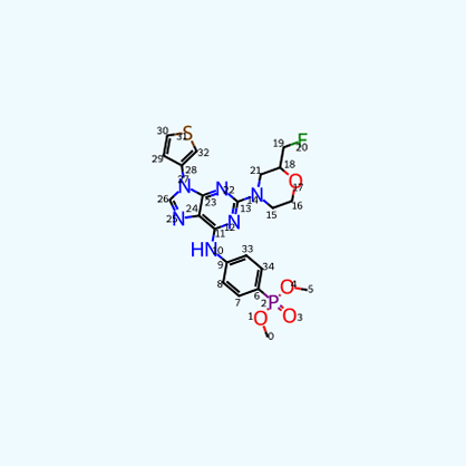 COP(=O)(OC)c1ccc(Nc2nc(N3CCOC(CF)C3)nc3c2ncn3-c2ccsc2)cc1